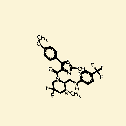 COc1ccc(-c2sc(C)nc2C(=O)N2CC(F)(F)C[C@@H](C)C2CNc2ccc(C(F)(F)F)cn2)cc1